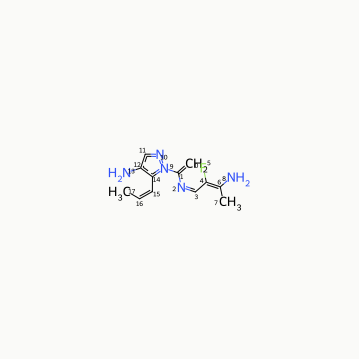 C=C(/N=C\C(F)=C(/C)N)n1ncc(N)c1/C=C\C